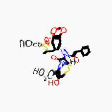 CCCCCCCC[S+]([O-])C(C)Cc1ccc2c(c1)OCO2.O=C(Cc1ccccc1)NC1C(=O)N2C(C(=O)O)=C(O)CS[C@H]12